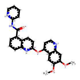 COc1cc2nccc(Oc3ccc4c(C(=O)Nc5ccccn5)cccc4n3)c2cc1OC